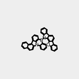 c1ccc2c(c1)B(n1c3ccccc3c3ccc4c5ccccc5oc4c31)c1cccc3c4c5ccccc5ccc4n-2c13